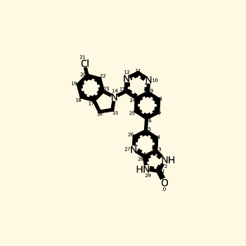 O=c1[nH]c2cc(-c3ccc4ncnc(N5CCc6ccc(Cl)cc65)c4c3)cnc2[nH]1